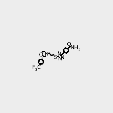 Cn1c(SCCCN2CCO[C@@H](c3ccc(C(F)(F)F)cc3)C2)nnc1-c1ccc(C(N)=O)cc1